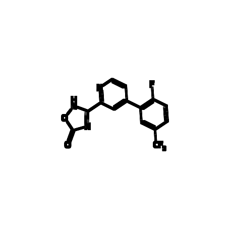 O=c1nc(-c2cc(-c3cc(C(F)(F)F)ccc3F)ccn2)[nH]o1